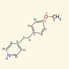 COc1ccc(CCc2ccncc2)cc1